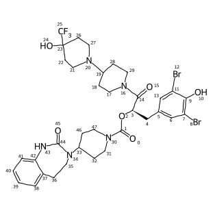 O=C(O[C@H](Cc1cc(Br)c(O)c(Br)c1)C(=O)N1CCC(N2CCC(O)(C(F)(F)F)CC2)CC1)N1CCC(N2CCc3ccccc3NC2=O)CC1